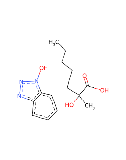 CCCCCC(C)(O)C(=O)O.On1nnc2ccccc21